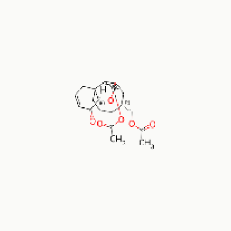 CC(=O)OC[C@@H]1CCCC23CC=CC(=O)[C@@H]2Oc2c(OC(C)=O)ccc(c23)C1